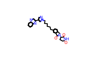 O=C1CCC(N2Cc3ccc(CCCCCCn4cc(-c5cnc6ccccc6n5)cn4)cc3C2=O)C(=O)N1